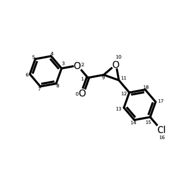 O=C(Oc1ccccc1)C1OC1c1ccc(Cl)cc1